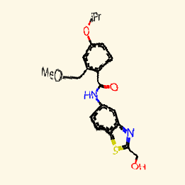 COCc1cc(OC(C)C)ccc1C(=O)Nc1ccc2sc(CO)nc2c1